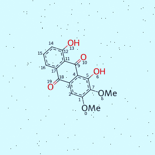 COc1cc2c(c(O)c1OC)C(=O)c1c(O)cccc1C2=O